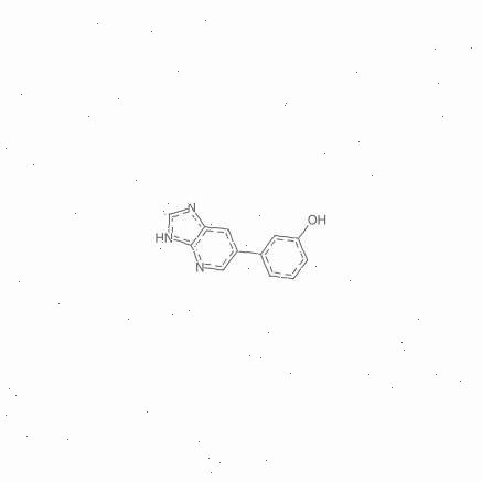 Oc1cccc(-c2cnc3[nH][c]nc3c2)c1